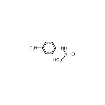 CCN(Nc1ccc([N+](=O)[O-])cc1)C(=O)O